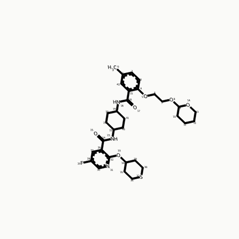 Cc1ccc(OCCOC2CCCCO2)c(C(=O)NC2CCC(NC(=O)c3cc(F)cnc3OC3CCSCC3)CC2)c1